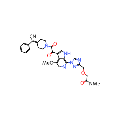 CNC(=O)COCc1ncn(-c2ncc(OC)c3c(C(=O)C(=O)N4CCC(=C(C#N)c5ccccc5)CC4)c[nH]c23)n1